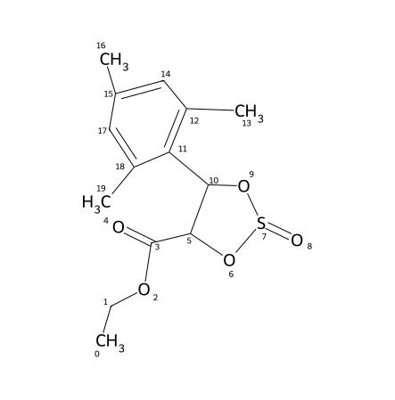 CCOC(=O)C1OS(=O)OC1c1c(C)cc(C)cc1C